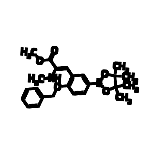 CN/C(=C\c1cc(B2OC(C)(C)C(C)(C)O2)ccc1OCc1ccccc1)C(=O)OC